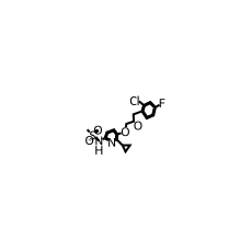 CS(=O)(=O)Nc1ccc(OCC(=O)Cc2ccc(F)cc2Cl)c(C2CC2)n1